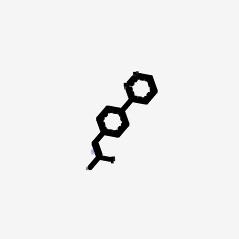 [CH2]/C(F)=C/c1ccc(-c2cccnn2)cc1